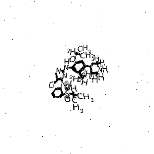 [2H]C1([2H])CC(c2cc(OC([2H])(C)C)c(Nc3ncc(Cl)c(Nc4ccccc4S(=O)(=O)C([2H])(C)C)n3)cc2C([2H])([2H])[2H])CC([2H])([2H])N1